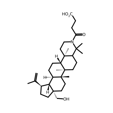 C=C(C)[C@@H]1CC[C@]2(CO)CC[C@]3(C)[C@H](CC[C@@H]4[C@@]5(C)CCN(C(=O)CCC(=O)O)C(C)(C)C5CC[C@]43C)[C@@H]12